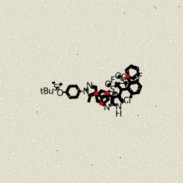 Cc1c(-c2cnc3[nH]cc(C(c4c(Cl)ccc(F)c4Cl)C(F)(S(=O)(=O)c4ccccc4)S(=O)(=O)c4ccccc4)c3c2)cnn1[C@H]1CC[C@H](O[Si](C)(C)C(C)(C)C)CC1